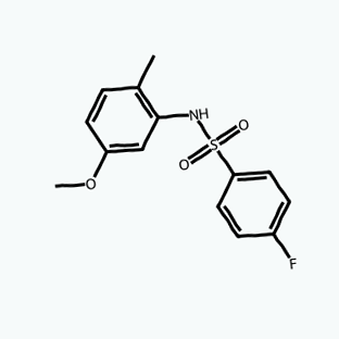 COc1ccc(C)c(NS(=O)(=O)c2ccc(F)cc2)c1